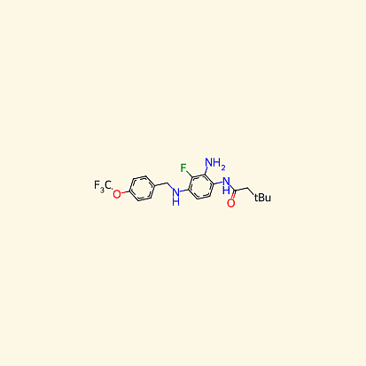 CC(C)(C)CC(=O)Nc1ccc(NCc2ccc(OC(F)(F)F)cc2)c(F)c1N